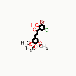 COc1cc(C=CC(=O)c2cc(Cl)cc(Br)c2O)cc(OC)c1OC